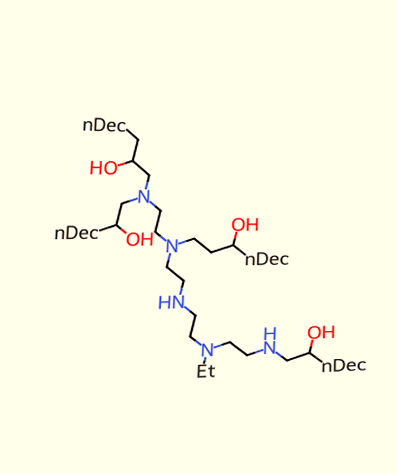 CCCCCCCCCCCC(O)CN(CCN(CCNCCN(CC)CCNCC(O)CCCCCCCCCC)CCC(O)CCCCCCCCCC)CC(O)CCCCCCCCCC